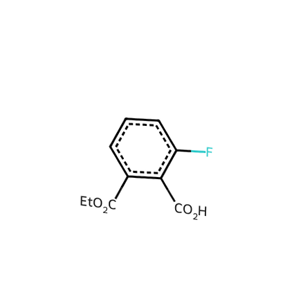 CCOC(=O)c1cccc(F)c1C(=O)O